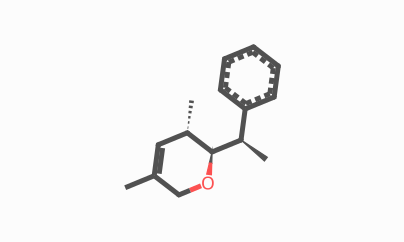 CC1=C[C@H](C)[C@@H]([C@H](C)c2ccccc2)OC1